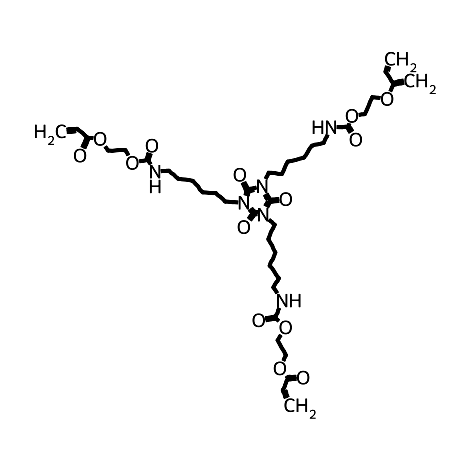 C=CC(=C)OCCOC(=O)NCCCCCCn1c(=O)n(CCCCCCNC(=O)OCCOC(=O)C=C)c(=O)n(CCCCCCNC(=O)OCCOC(=O)C=C)c1=O